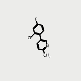 Cc1ccc(-c2ccc(F)[c]c2Cl)cn1